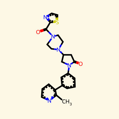 Cc1ncccc1-c1cccc(N2CC(N3CCN(C(=O)c4nccs4)CC3)CC2=O)c1